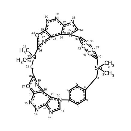 C[Si]1(C)Cc2ccc(cc2)-n2cnc3nnc4oc(nc4c32)C[Si](C)(C)c2nc3c(nnc4ncn(c43)-c3ccc1cc3)o2